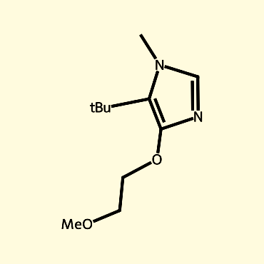 COCCOc1ncn(C)c1C(C)(C)C